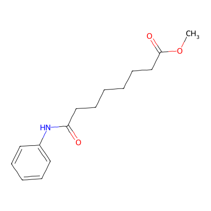 COC(=O)CCCCCCC(=O)Nc1ccccc1